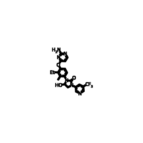 CCc1c(Oc2ccnc(N)n2)ccc(N2C(=O)N(c3cncc(C(F)(F)F)c3)CC2O)c1C